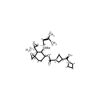 COC1C(OC(=O)N2CC(C(=O)N3CCC3)C2)CCC2(CO2)C1[C@@]1(C)O[C@@H]1CC=C(C)C